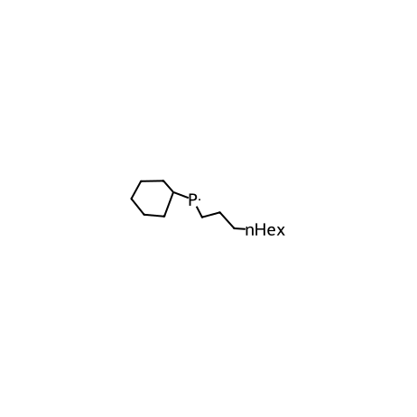 CCCCCCCCC[P]C1CCCCC1